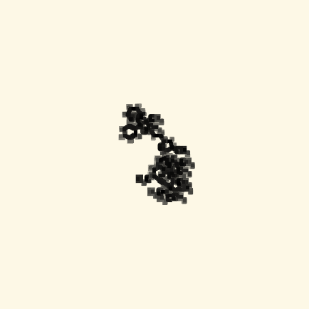 C=C1C[C@H](CCCO[Si](c2ccccc2)(c2ccccc2)C(C)(C)C)O[C@H]1CC[C@H](C[C@@H](C)C#C[Si](C(C)C)(C(C)C)C(C)C)O[Si](C)(C)C(C)(C)C